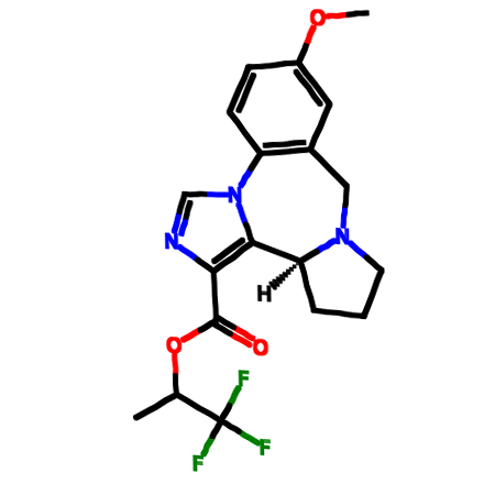 COc1ccc2c(c1)CN1CCC[C@H]1c1c(C(=O)OC(C)C(F)(F)F)ncn1-2